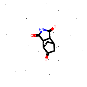 O=C1CC2CC1C1C(=O)NC(=O)C21